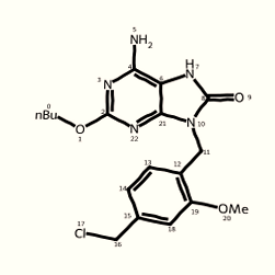 CCCCOc1nc(N)c2[nH]c(=O)n(Cc3ccc(CCl)cc3OC)c2n1